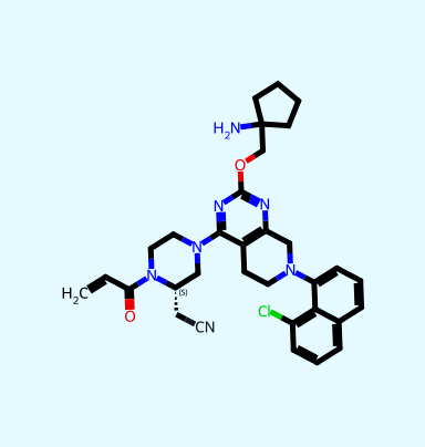 C=CC(=O)N1CCN(c2nc(OCC3(N)CCCC3)nc3c2CCN(c2cccc4cccc(Cl)c24)C3)C[C@@H]1CC#N